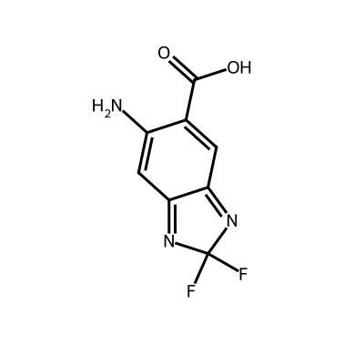 Nc1cc2c(cc1C(=O)O)=NC(F)(F)N=2